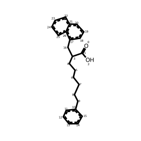 O=C(O)C(CCCCCCc1ccccc1)Cc1cccc2ccccc12